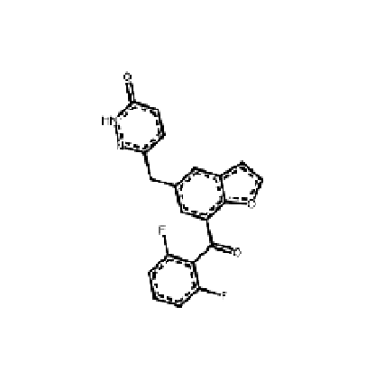 O=C(c1c(F)cccc1F)c1cc(Cc2ccc(=O)[nH]n2)cc2ccoc12